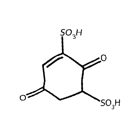 O=C1C=C(S(=O)(=O)O)C(=O)C(S(=O)(=O)O)C1